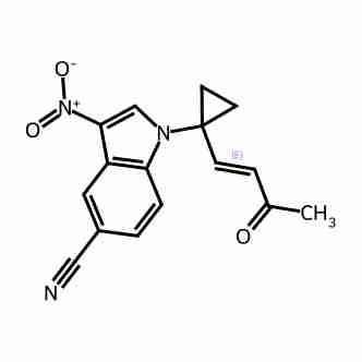 CC(=O)/C=C/C1(n2cc([N+](=O)[O-])c3cc(C#N)ccc32)CC1